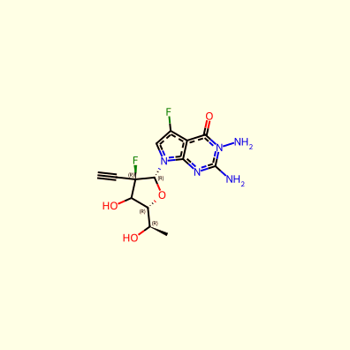 C#C[C@@]1(F)C(O)[C@@H]([C@@H](C)O)O[C@H]1n1cc(F)c2c(=O)n(N)c(N)nc21